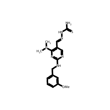 COc1cccc(CNc2ncc(C=NNC(N)=S)c(N(C)C)n2)c1